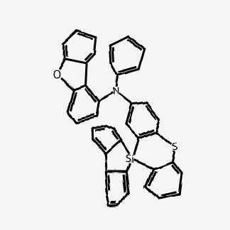 c1ccc(N(c2ccc3c(c2)[Si]2(c4ccccc4S3)c3ccccc3-c3ccccc32)c2cccc3oc4ccccc4c23)cc1